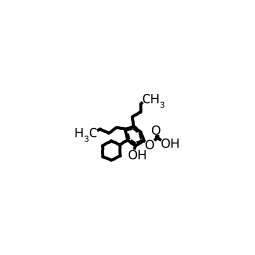 CCCCc1cc(OC(=O)O)c(O)c(C2CCCCC2)c1CCCC